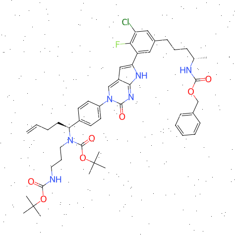 C=CCC[C@@H](c1ccc(-n2cc3cc(-c4cc(CCC[C@H](C)NC(=O)OCc5ccccc5)cc(Cl)c4F)[nH]c3nc2=O)cc1)N(CCCNC(=O)OC(C)(C)C)C(=O)OC(C)(C)C